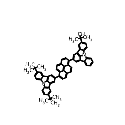 CC(C)(C)c1ccc2c(c1)c1cc(-c3ccc4ccc5c(-c6cc7c8cc(C(C)(C)C)ccc8n8c9ccc(C(C)(C)C)cc9c(c6)c78)ccc6ccc3c4c65)cc3c4ccccc4n2c31